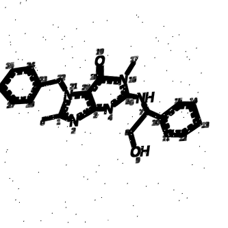 Cc1nc2nc(NC(CO)c3ccccc3)n(C)c(=O)c2n1Cc1ccccc1